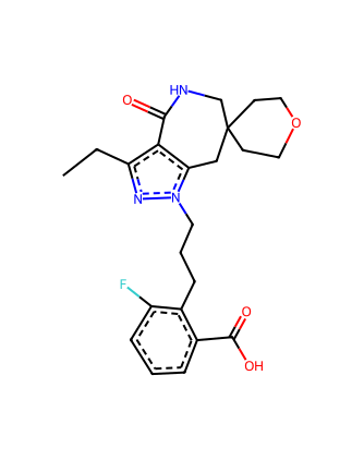 CCc1nn(CCCc2c(F)cccc2C(=O)O)c2c1C(=O)NCC1(CCOCC1)C2